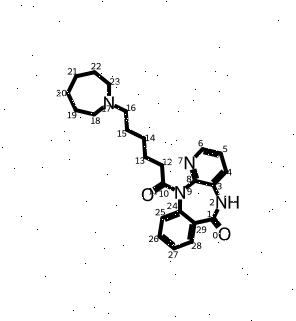 O=C1Nc2cccnc2N(C(=O)CCCCCN2CCCCCC2)c2ccccc21